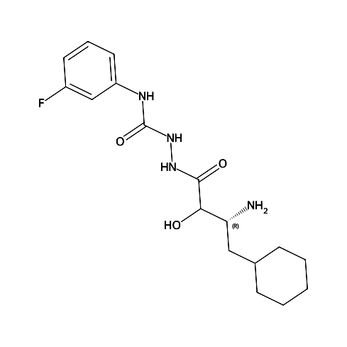 N[C@H](CC1CCCCC1)C(O)C(=O)NNC(=O)Nc1cccc(F)c1